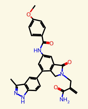 C=C(CN1Cc2c(cc(NC(=O)c3ccc(OC)cc3)cc2-c2ccc3[nH]nc(C)c3c2)C1=O)C(N)=O